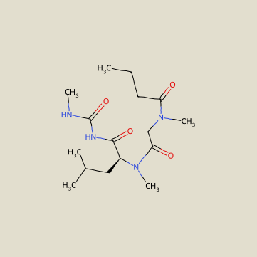 CCCC(=O)N(C)CC(=O)N(C)[C@@H](CC(C)C)C(=O)NC(=O)NC